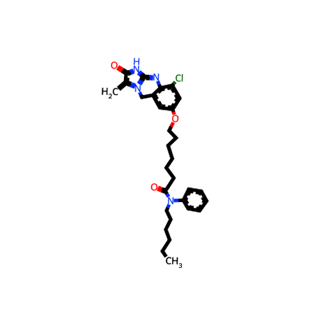 C=c1c(=O)[nH]c2n1Cc1cc(OCCCCCCC(=O)N(CCCCCC)c3ccccc3)cc(Cl)c1N=2